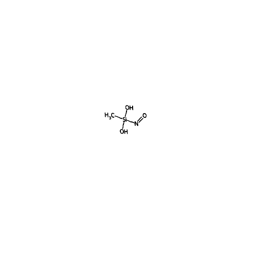 C[Si](O)(O)N=O